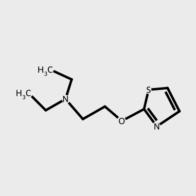 CCN(CC)CCOc1nccs1